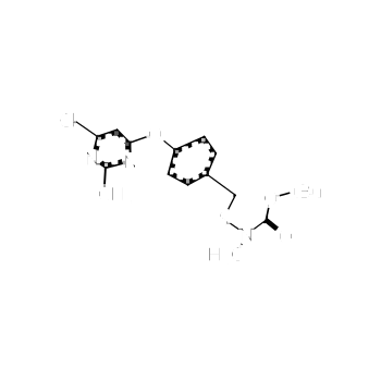 Cc1nc(Cl)cc(Oc2ccc(CSN(C)C(=O)OC(C)(C)C)cc2)n1